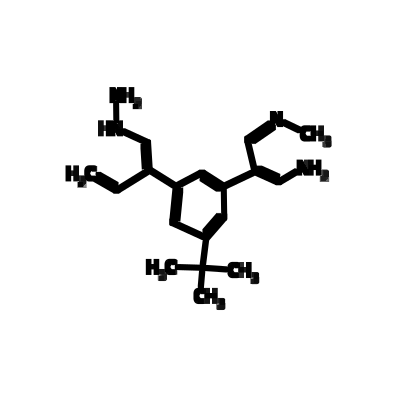 C=C/C(=C\NN)c1cc(C(/C=N\C)=C/N)cc(C(C)(C)C)c1